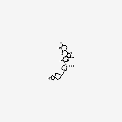 Cl.Cn1nc(C2CCC(=O)NC2=O)c2cc(F)c(N3CCN(CC4CCC5(CC4)CNC5)CC3)cc21